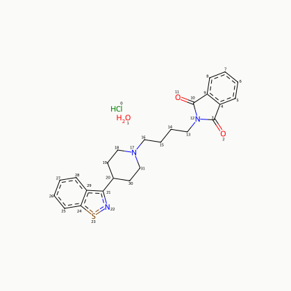 Cl.O.O=C1c2ccccc2C(=O)N1CCCCN1CCC(c2nsc3ccccc23)CC1